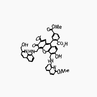 COC(=O)c1ccc(C(=O)O)c(-c2c3cc(Cl)c(=O)c(CNc4cccc5ccc(CO)nc45)c-3oc3c(CNc4cccc5ccc(OC)nc45)c(O)ccc23)c1